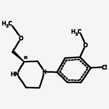 COC[C@H]1CN(c2ccc(Cl)c(OC)c2)CCN1